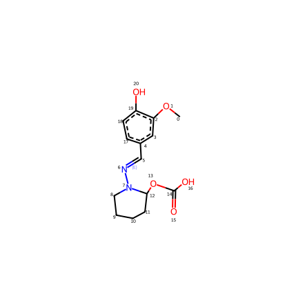 COc1cc(/C=N/N2CCCCC2OC(=O)O)ccc1O